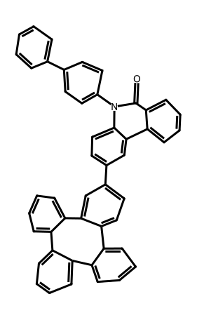 O=c1c2ccccc2c2cc(-c3ccc4c(c3)-c3ccccc3-c3ccccc3-c3ccccc3-4)ccc2n1-c1ccc(-c2ccccc2)cc1